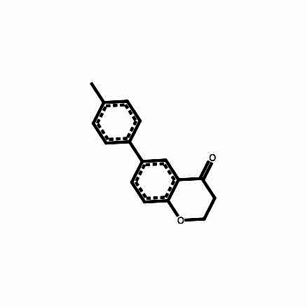 Cc1ccc(-c2ccc3c(c2)C(=O)CCO3)cc1